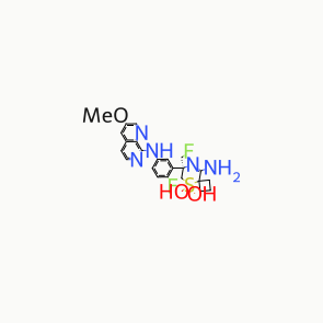 COc1cnc2c(Nc3ccc(F)c([C@]4(CF)CS(O)(O)C5(CCC5)C(N)=N4)c3)nccc2c1